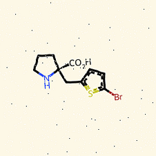 O=C(O)[C@]1(Cc2ccc(Br)s2)CCCN1